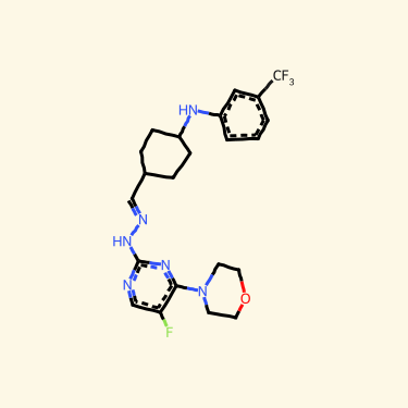 Fc1cnc(N/N=C/C2CCC(Nc3cccc(C(F)(F)F)c3)CC2)nc1N1CCOCC1